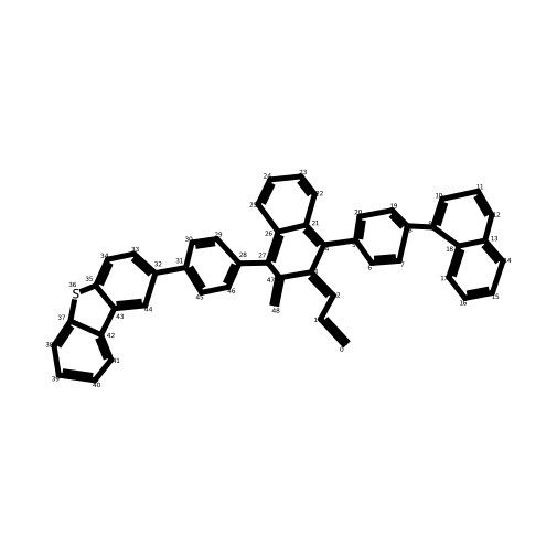 C=C/C=c1/c(-c2ccc(-c3cccc4ccccc34)cc2)c2ccccc2c(-c2ccc(-c3ccc4sc5ccccc5c4c3)cc2)c1=C